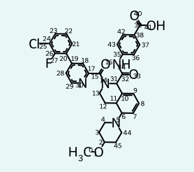 COC1CCN(C2C=CC=C3C2CCN(C(=O)c2cc(-c4cccc(Cl)c4F)ccn2)C3C(=O)Nc2ccc(C(=O)O)cc2)CC1